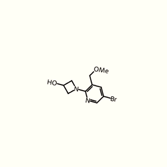 COCc1cc(Br)cnc1N1CC(O)C1